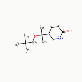 CC(C)(C)[SiH2]OC(C)(C)C1CCC(=O)NC1